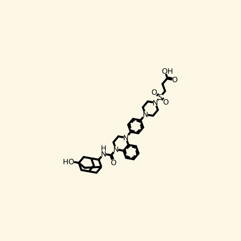 O=C(O)CCS(=O)(=O)N1CCN(c2ccc(N3CCN(C(=O)NC4C5CC6CC4CC(O)(C6)C5)c4ccccc43)cc2)CC1